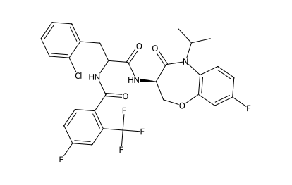 CC(C)N1C(=O)[C@H](NC(=O)C(Cc2ccccc2Cl)NC(=O)c2ccc(F)cc2C(F)(F)F)COc2cc(F)ccc21